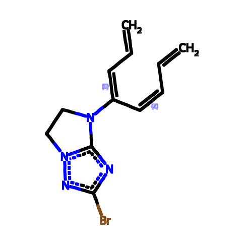 C=C/C=C\C(=C/C=C)N1CCn2nc(Br)nc21